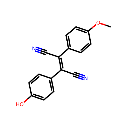 COc1ccc(/C(C#N)=C(\C#N)c2ccc(O)cc2)cc1